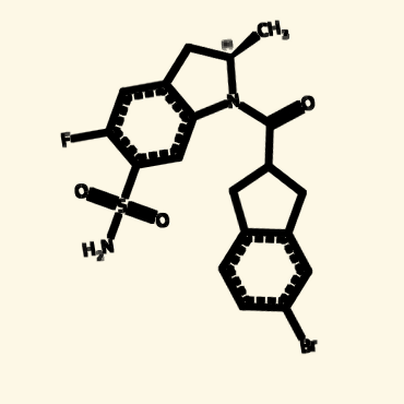 C[C@@H]1Cc2cc(F)c(S(N)(=O)=O)cc2N1C(=O)C1Cc2ccc(Br)cc2C1